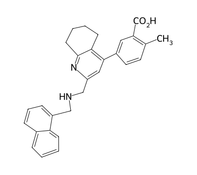 Cc1ccc(-c2cc(CNCc3cccc4ccccc34)nc3c2CCCC3)cc1C(=O)O